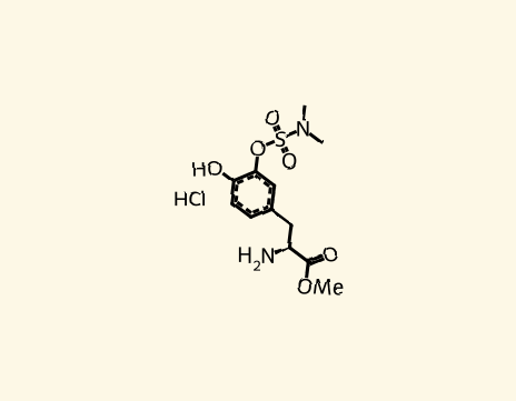 COC(=O)[C@@H](N)Cc1ccc(O)c(OS(=O)(=O)N(C)C)c1.Cl